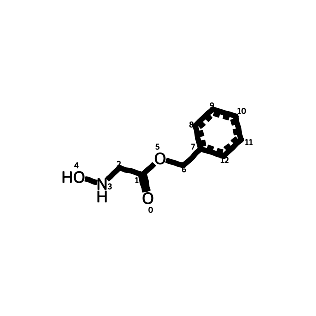 O=C(CNO)OCc1ccccc1